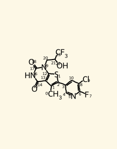 Cc1c(-c2cnc(F)c(Cl)c2)sc2c1c(=O)[nH]c(=O)n2CC(O)C(F)(F)F